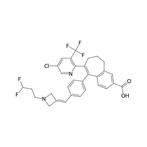 O=C(O)c1ccc2c(c1)CCCC(c1ncc(Cl)cc1C(F)(F)F)=C2c1ccc(C=C2CN(CCC(F)F)C2)cc1